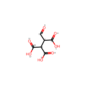 O=CC(C(=O)O)C(C(=O)O)C(=O)O